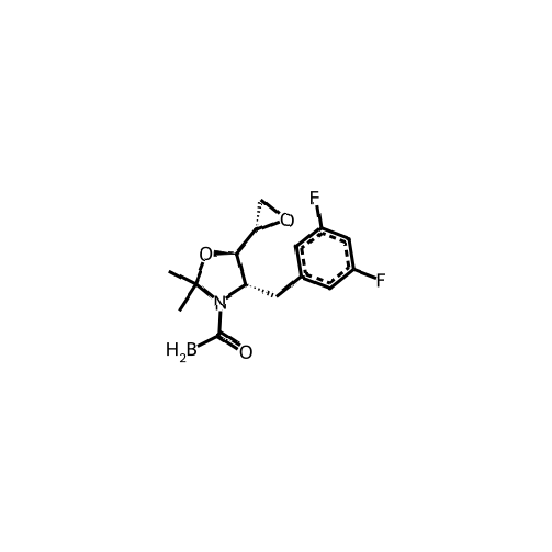 BC(=O)N1[C@@H](Cc2cc(F)cc(F)c2)[C@H]([C@@H]2CO2)OC1(C)C